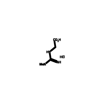 CNC(=N)NCC(=O)O.Cl